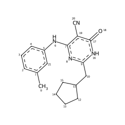 Cc1cccc(Nc2nc(CC3CCCC3)[nH]c(=O)c2C#N)c1